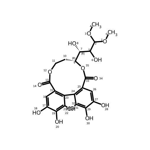 COC(OC)C(O)[C@@H](O)[C@H]1CCOC(=O)c2cc(O)c(O)c(O)c2-c2c(cc(O)c(O)c2O)C(=O)O1